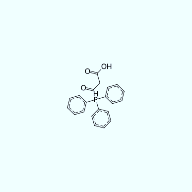 O=C(O)CC(=O)[PH](c1ccccc1)(c1ccccc1)c1ccccc1